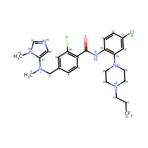 CN(Cc1ccc(C(=O)Nc2ccc(Cl)cc2N2CCN(CCC(F)(F)F)CC2)c(F)c1)c1cncn1C